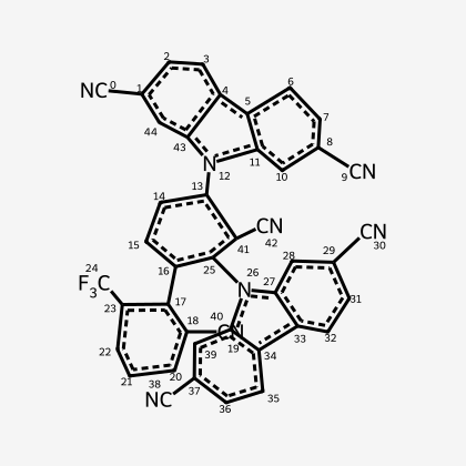 N#Cc1ccc2c3ccc(C#N)cc3n(-c3ccc(-c4c(C#N)cccc4C(F)(F)F)c(-n4c5cc(C#N)ccc5c5ccc(C#N)cc54)c3C#N)c2c1